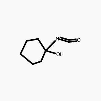 O=C=NC1(O)CCCCC1